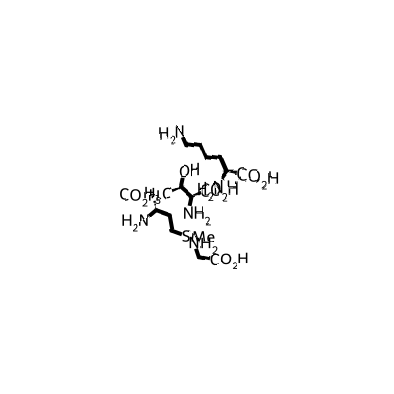 CSCC[C@H](N)C(=O)O.C[C@@H](O)[C@H](N)C(=O)O.NCC(=O)O.NCCCC[C@H](N)C(=O)O